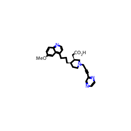 COc1ccc2nccc(CCC[C@@H]3CCN(CC#Cc4cnccn4)C[C@@H]3CC(=O)O)c2c1